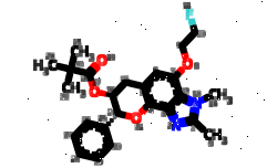 Cc1nc2c3c(cc(OCCF)c2n1C)C[C@H](OC(=O)C(C)(C)C)[C@@H](c1ccccc1)O3